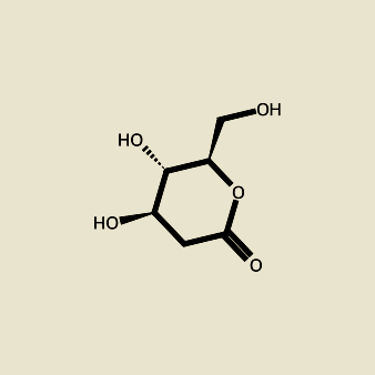 O=C1C[C@@H](O)[C@H](O)[C@@H](CO)O1